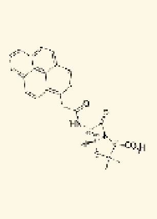 CC1(C)S[C@@H]2[C@H](NC(=O)Cc3ccc4ccc5cccc6ccc3c4c56)C(=O)N2[C@H]1C(=O)O